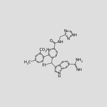 CCC(c1ccc(C(=O)NCc2nc[nH]n2)cc1-c1ccc(C)cc1C(=O)O)c1c[nH]c2cc(C(=N)N)ccc12